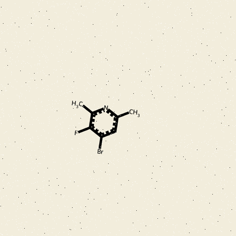 Cc1cc(Br)c(F)c(C)n1